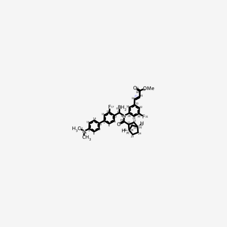 BC(c1ccc(-c2ccc(N(C)C)cc2)cc1F)N(C(=O)C1C[C@H]2CC[C@@H]1C2)c1cc(F)cc(/C=C/C(=O)OC)c1